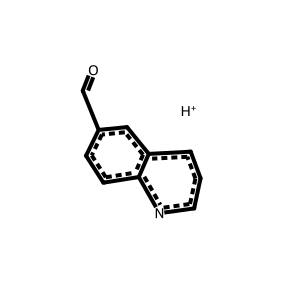 O=Cc1ccc2ncccc2c1.[H+]